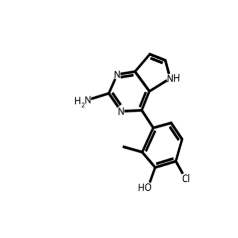 Cc1c(-c2nc(N)nc3cc[nH]c23)ccc(Cl)c1O